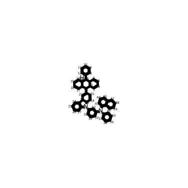 C1=CC2C(C=C1)C(c1ccccc1)[C@@H]1C=CC=CC1C2C1=CC2c3ccccc3N(c3cccc(N(c4ccccc4)c4cccc5ccccc45)c3)C2C=C1